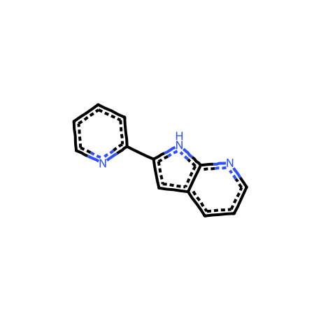 c1ccc(-c2cc3cccnc3[nH]2)nc1